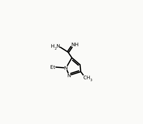 CCn1nc(C)cc1C(=N)N